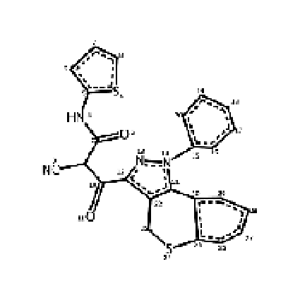 N#CC(C(=O)Nc1cccs1)C(=O)c1nn(-c2ccccc2)c2c1CSc1ccccc1-2